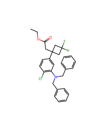 CCOC(=O)CC1(c2ccc(Cl)c(N(Cc3ccccc3)Cc3ccccc3)c2)CC(F)(F)C1